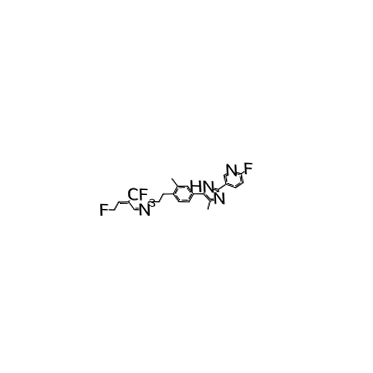 Cc1cc(-c2[nH]c(-c3ccc(F)nc3)nc2C)ccc1CCC/N=C\C(=C/CF)C(F)(F)F